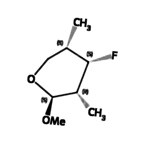 CO[C@H]1OC[C@H](C)[C@H](F)[C@@H]1C